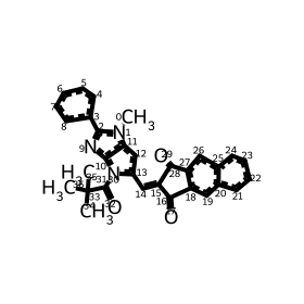 Cn1c(-c2ccccc2)nc2c1cc(C=C1C(=O)c3cc4ccccc4cc3C1=O)n2C(=O)C(C)(C)C